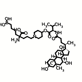 CC(C)[C@@H](NC(=O)CC[C@H](C)[C@@H]1CC[C@@H]2[C@@H]3[C@@H](CC[C@]21O)[C@]1(C)CC[C@H](O)C[C@]1(C)C[C@@H]3O)C(=O)OC1CCN(CCCC(N)(CCCCB(O)O)C(=O)O)CC1